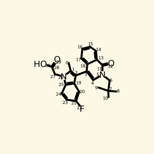 Cc1c(-c2cn(CC(C)(C)C)c(=O)c3ccccc23)c2cc(F)ccc2n1CC(=O)O